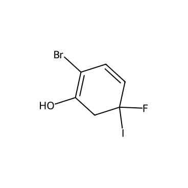 OC1=C(Br)C=CC(F)(I)C1